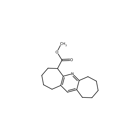 COC(=O)C1CCCCc2cc3c(nc21)CCCCC3